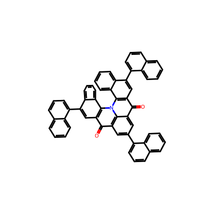 O=c1c2cc(-c3cccc4ccccc34)cc3c(=O)c4cc(-c5cccc6ccccc56)c5ccccc5c4n(c23)c2c1cc(-c1cccc3ccccc13)c1ccccc12